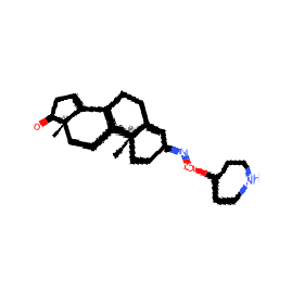 C[C@]12CCC(=NOC3CCNCC3)C=C1CCC1C2CC[C@]2(C)C(=O)CCC12